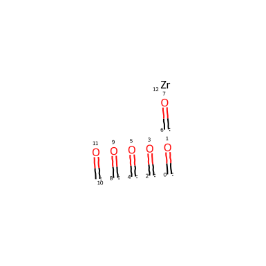 [C]=O.[C]=O.[C]=O.[C]=O.[C]=O.[C]=O.[Zr]